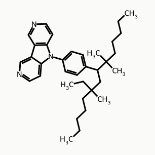 CCCCCC(C)(CC)CC(c1ccc(-n2c3ccncc3c3cnccc32)cc1)C(C)(C)CCCCC